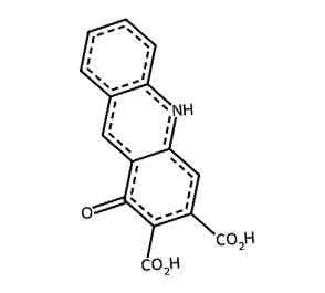 O=C(O)c1cc2[nH]c3ccccc3cc-2c(=O)c1C(=O)O